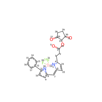 O=C(CCC1=[N+]2C(=Cc3ccc(-c4ccccc4)n3[B-]2(F)[18F])C=C1)OC1C(=O)CCC1=O